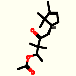 CC(=O)OC(C)C(C)(C)C(=O)C[C@@H]1CC=C(C)C1(C)C